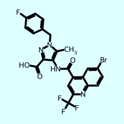 Cc1c(NC(=O)c2cc(C(F)(F)F)nc3ccc(Br)cc23)c(C(=O)O)nn1Cc1ccc(F)cc1